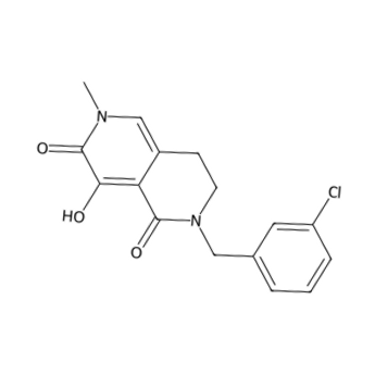 Cn1cc2c(c(O)c1=O)C(=O)N(Cc1cccc(Cl)c1)CC2